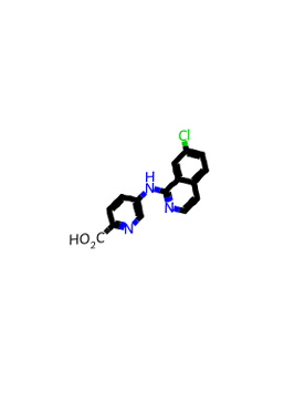 O=C(O)c1ccc(Nc2nccc3ccc(Cl)cc23)cn1